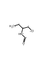 CCC(CCl)NC=O